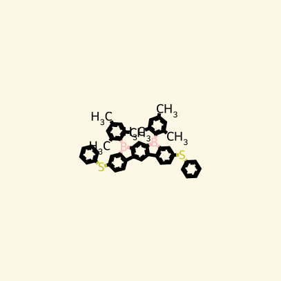 Cc1cc(C)c(B2c3cc(Sc4ccccc4)ccc3-c3cc4c(cc32)B(c2c(C)cc(C)cc2C)c2cc(Sc3ccccc3)ccc2-4)c(C)c1